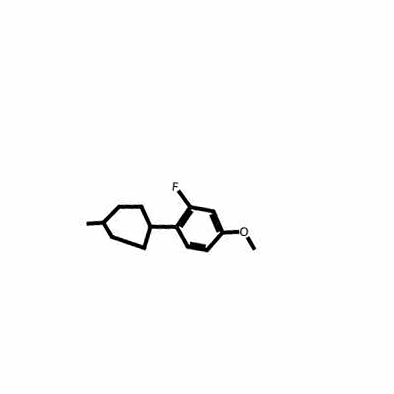 COc1ccc(C2CCC(C)CC2)c(F)c1